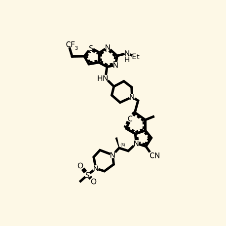 CCNc1nc(NC2CCN(Cc3ccc4c(cc(C#N)n4C[C@H](C)N4CCN(S(C)(=O)=O)CC4)c3C)CC2)c2cc(CC(F)(F)F)sc2n1